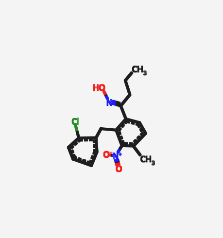 CCCC(=NO)c1ccc(C)c([N+](=O)[O-])c1Cc1ccccc1Cl